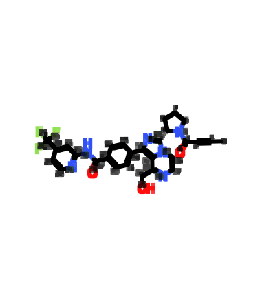 CC#CC(=O)N1CCC[C@H]1c1nc(-c2ccc(C(=O)Nc3cc(C(F)(F)F)ccn3)cc2)c2c(CO)nccn12